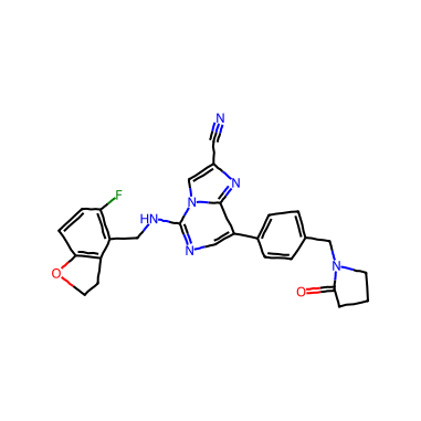 N#Cc1cn2c(NCc3c(F)ccc4c3CCO4)ncc(-c3ccc(CN4CCCC4=O)cc3)c2n1